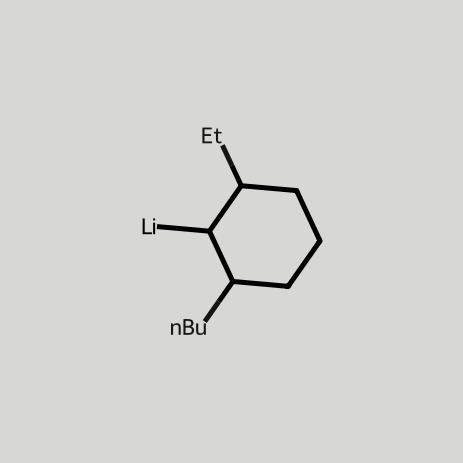 [Li][CH]1C(CC)CCCC1CCCC